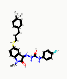 CCCN1C(=O)C(=NNC(=O)Nc2ccc(F)cc2)c2cc(SCCCc3ccc(C(=O)O)cc3)ccc21